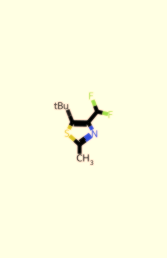 Cc1nc(C(F)F)c(C(C)(C)C)s1